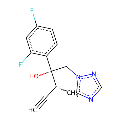 C#C[C@@H](C)[C@](O)(Cn1cncn1)c1ccc(F)cc1F